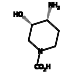 N[C@@H]1CCN(C(=O)O)C[C@@H]1O